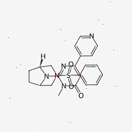 Cn1c(N2C3CC[C@@H]2CN(S(=O)(=O)c2ccccc2)C3)nc(-c2ccncc2)cc1=O